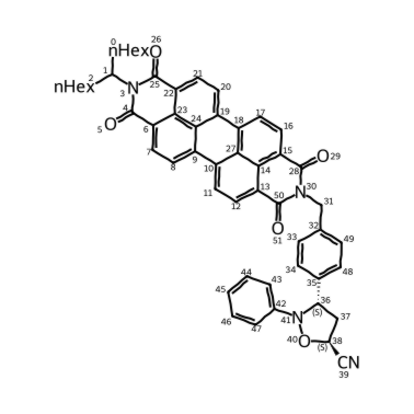 CCCCCCC(CCCCCC)N1C(=O)c2ccc3c4ccc5c6c(ccc(c7ccc(c2c37)C1=O)c64)C(=O)N(Cc1ccc([C@@H]2C[C@@H](C#N)ON2c2ccccc2)cc1)C5=O